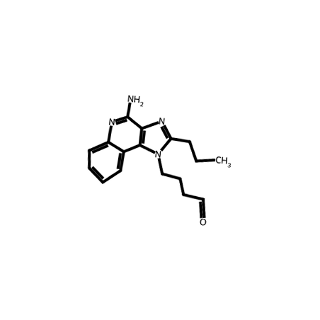 CCCc1nc2c(N)nc3ccccc3c2n1CCCC=O